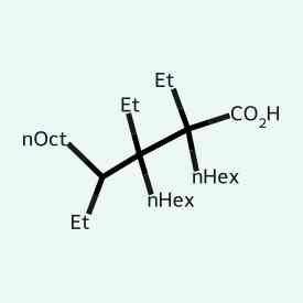 CCCCCCCCC(CC)C(CC)(CCCCCC)C(CC)(CCCCCC)C(=O)O